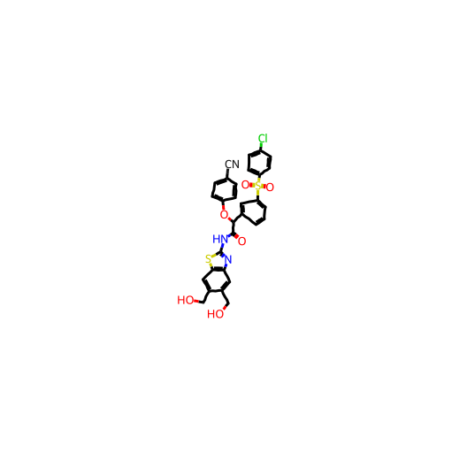 N#Cc1ccc(OC(C(=O)Nc2nc3cc(CO)c(CO)cc3s2)c2cccc(S(=O)(=O)c3ccc(Cl)cc3)c2)cc1